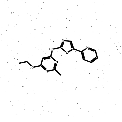 CCOc1cc(Nc2ncc(-c3ccccn3)s2)nc(C)n1